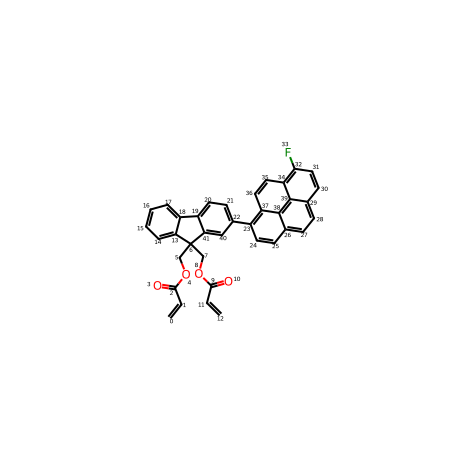 C=CC(=O)OCC1(COC(=O)C=C)c2ccccc2-c2ccc(-c3ccc4ccc5ccc(F)c6ccc3c4c56)cc21